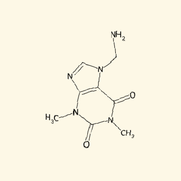 Cn1c(=O)c2c(ncn2CN)n(C)c1=O